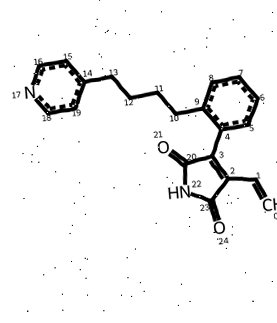 C=CC1=C(c2ccccc2CCCCc2ccncc2)C(=O)NC1=O